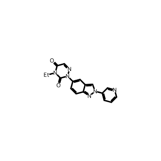 CCn1c(=O)cnn(-c2ccc3nn(-c4cccnc4)cc3c2)c1=O